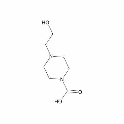 O=C(O)N1CCN(CCO)CC1